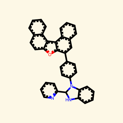 c1ccc(C2Nc3ccccc3N2c2ccc(-c3cc4ccccc4c4c3oc3ccc5ccccc5c34)cc2)nc1